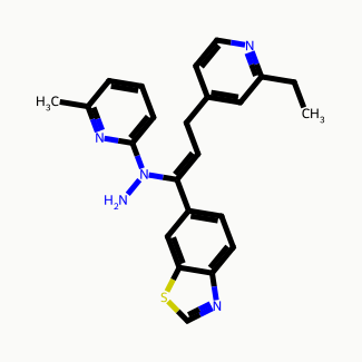 CCc1cc(C/C=C(/c2ccc3ncsc3c2)N(N)c2cccc(C)n2)ccn1